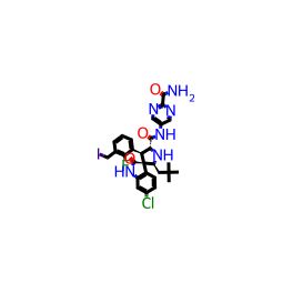 CC(C)(C)C[C@@H]1N[C@@H](C(=O)Nc2cnc(C(N)=O)nc2)[C@H](c2cccc(CI)c2F)[C@]12C(=O)Nc1cc(Cl)ccc12